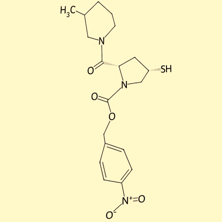 CC1CCCN(C(=O)[C@@H]2C[C@H](S)CN2C(=O)OCc2ccc([N+](=O)[O-])cc2)C1